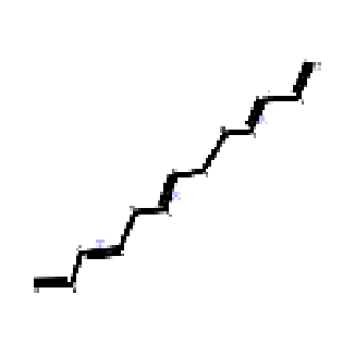 C=C/C=C/C/C=C/CC/C=C/C=C